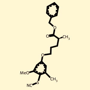 COc1cc(OCCC[C@H](C)C(=O)OCc2ccccc2)cc(C)c1SC#N